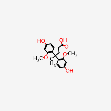 COc1cc(O)ccc1C(C)(CCC(=O)O)c1ccc(O)cc1OC